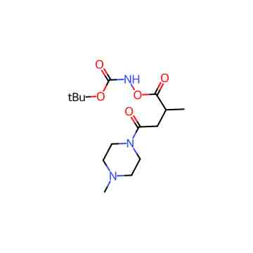 CC(CC(=O)N1CCN(C)CC1)C(=O)ONC(=O)OC(C)(C)C